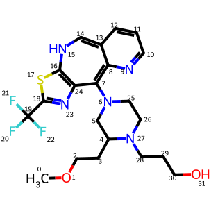 COCCC1CN(C2=c3ncccc3=CNc3sc(C(F)(F)F)nc32)CCN1CCCO